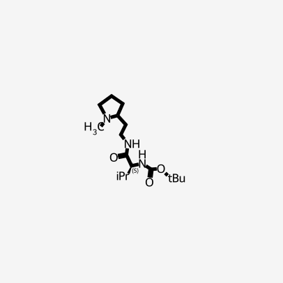 CC(C)[C@H](NC(=O)OC(C)(C)C)C(=O)NCCC1CCCN1C